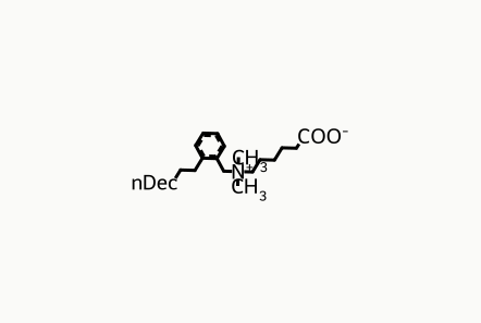 CCCCCCCCCCCCc1ccccc1C[N+](C)(C)CCCCCC(=O)[O-]